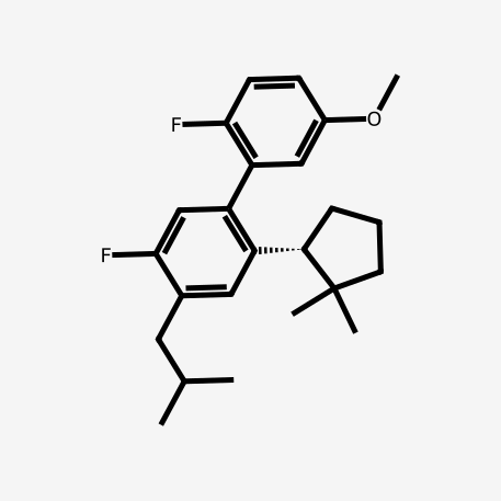 COc1ccc(F)c(-c2cc(F)c(CC(C)C)cc2[C@@H]2CCCC2(C)C)c1